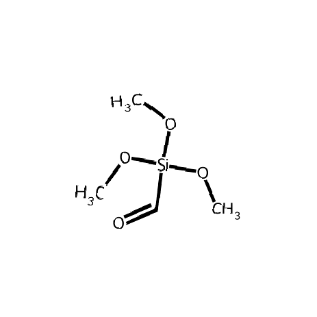 CO[Si](C=O)(OC)OC